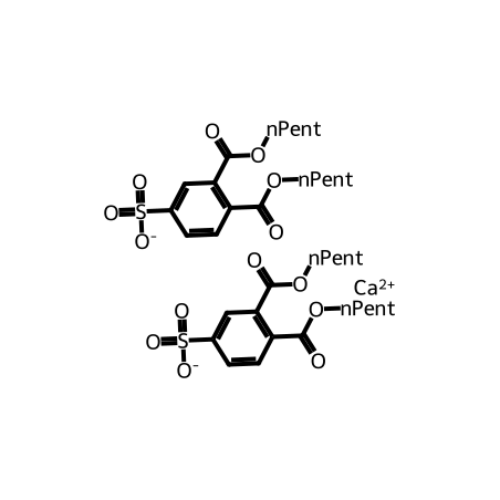 CCCCCOC(=O)c1ccc(S(=O)(=O)[O-])cc1C(=O)OCCCCC.CCCCCOC(=O)c1ccc(S(=O)(=O)[O-])cc1C(=O)OCCCCC.[Ca+2]